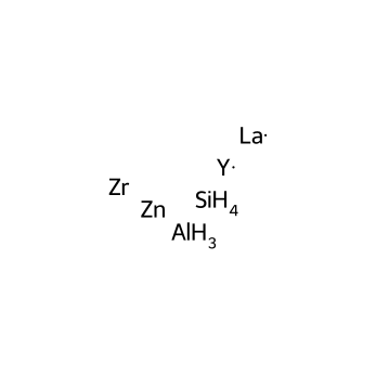 [AlH3].[La].[SiH4].[Y].[Zn].[Zr]